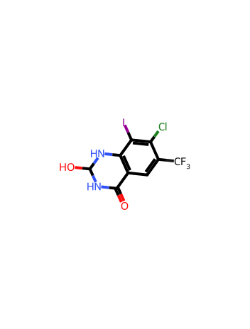 O=C1NC(O)Nc2c1cc(C(F)(F)F)c(Cl)c2I